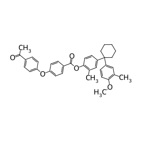 COc1ccc(C2(c3ccc(OC(=O)c4ccc(Oc5ccc(C(C)=O)cc5)cc4)c(C)c3)CCCCC2)cc1C